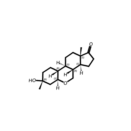 C[C@@]1(O)CC[C@@H]2[C@H]3CC[C@]4(C)C(=O)CC[C@H]4[C@@H]3CO[C@H]2C1